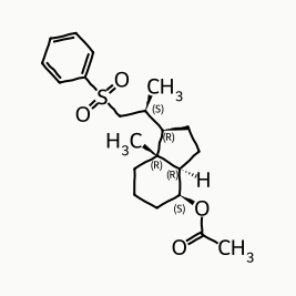 CC(=O)O[C@H]1CCC[C@]2(C)[C@@H]([C@H](C)CS(=O)(=O)c3ccccc3)CC[C@@H]12